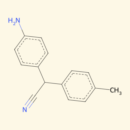 Cc1ccc(C(C#N)c2ccc(N)cc2)cc1